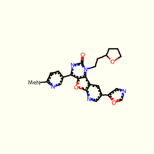 CNc1ccc(-c2nc(=O)n(CCC3CCCO3)c3c2oc2ncc(-c4cnco4)cc23)cn1